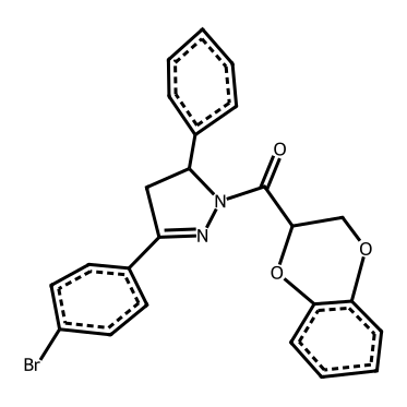 O=C(C1COc2ccccc2O1)N1N=C(c2ccc(Br)cc2)CC1c1ccccc1